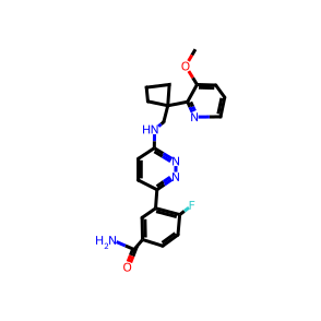 COc1cccnc1C1(CNc2ccc(-c3cc(C(N)=O)ccc3F)nn2)CCC1